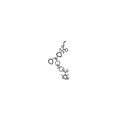 C=CCOC(=O)C(F)(F)c1ccc(N(Cc2ccccc2)C2CCN(C3(C)CCN(C(=O)c4c(C)ncnc4C)CC3)CC2)cc1